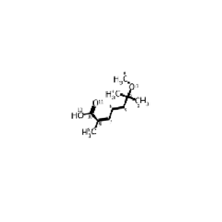 COC(C)(C)CCC=C(C)C(=O)O